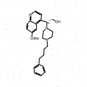 COc1ccc2nccc([C@H](CO)N3CCN(CCCCc4ccccc4)CC3)c2c1